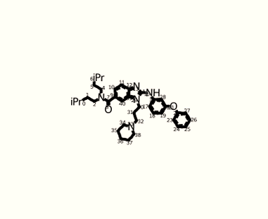 CC(C)CCN(CCC(C)C)C(=O)c1ccc2nc(Nc3cccc(Oc4ccccc4)c3)n(CCCN3CCCCC3)c2c1